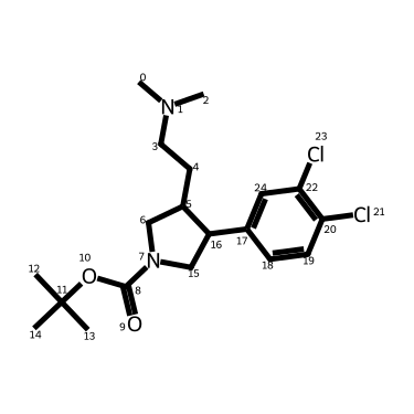 CN(C)CCC1CN(C(=O)OC(C)(C)C)CC1c1ccc(Cl)c(Cl)c1